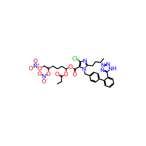 CCCCc1nc(Cl)c(C(=O)OC(CCC[C@H](CO[N+](=O)[O-])O[N+](=O)[O-])OC(=O)CC)n1Cc1ccc(-c2ccccc2-c2nnn[nH]2)cc1